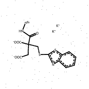 CCCNC(=O)C(CSc1nc2ccccc2s1)(CC(=O)[O-])C(=O)[O-].[K+].[K+]